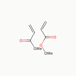 C=CC(=O)OC.C=CC(=O)OOC